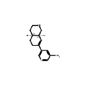 Cc1cncc(C2=C[C@@H]3CNCC[C@@H]3CC2)c1